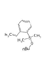 C=Cc1ccccc1[Si](C)(C)OCCCC